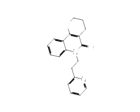 O=c1c2c(c3ccccc3n1CCc1ccccn1)OCCC2